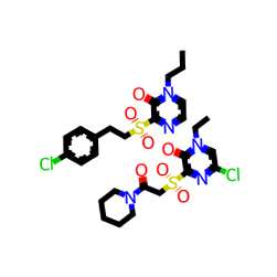 CCCn1ccnc(S(=O)(=O)CCc2ccc(Cl)cc2)c1=O.CCn1cc(Cl)nc(S(=O)(=O)CC(=O)N2CCCCC2)c1=O